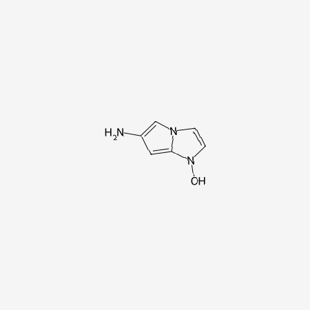 Nc1cc2n(O)ccn2c1